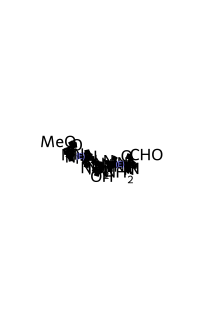 COC(=O)c1cnn(C)c1/N=N/c1c(C)nn(-c2nc(O)nc(-n3nc(C)c(/N=N/c4c(C(=O)C=O)cnn4C)c3N)n2)c1N